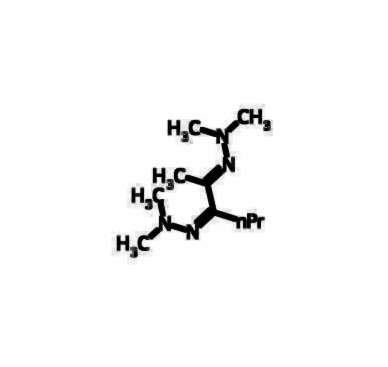 CCCC(=NN(C)C)C(C)=NN(C)C